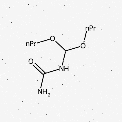 CCCOC(NC(N)=O)OCCC